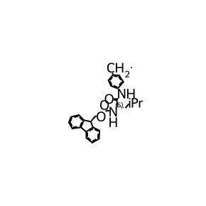 [CH2]c1ccc(NC(=O)[C@H](CC(C)C)NC(=O)OCC2c3ccccc3-c3ccccc32)cc1